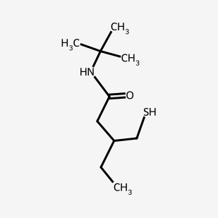 CCC(CS)CC(=O)NC(C)(C)C